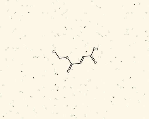 O=C(O)C=CC(=O)OCCl